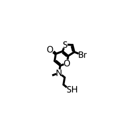 CN(CCS)c1cc(=O)c2scc(Br)c2o1